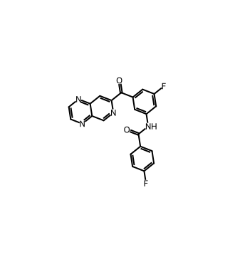 O=C(Nc1cc(F)cc(C(=O)c2cc3nccnc3cn2)c1)c1ccc(F)cc1